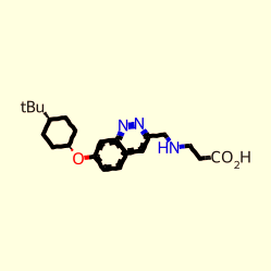 CC(C)(C)[C@H]1CC[C@H](Oc2ccc3cc(CNCCC(=O)O)nnc3c2)CC1